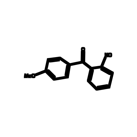 COc1ccc(C(=O)c2ccccc2N=O)cc1